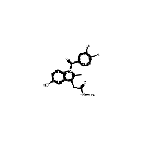 CCCCNC(=O)Cc1c(C)n(C(=O)c2ccc(Cl)c(Cl)c2)c2ccc(O)cc12